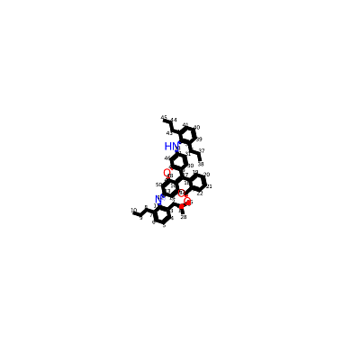 CCCc1cccc(CCC)c1/N=c1\ccc2c(-c3ccccc3C(=O)OCC)c3ccc(Nc4c(CCC)cccc4CCC)cc3oc-2c1